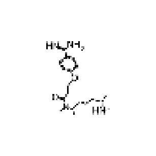 CN[C@H](C)CCC[C@@H](C)N(C)C(=O)CCOc1ccc(C(=N)N)cc1